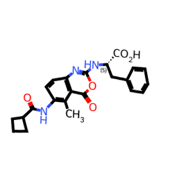 Cc1c(NC(=O)C2CCC2)ccc2nc(N[C@@H](Cc3ccccc3)C(=O)O)oc(=O)c12